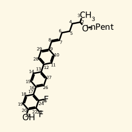 CCCCCOC(C)CCCC=Cc1ccc(-c2ccc(-c3ccc(O)c(F)c3F)cc2)cc1